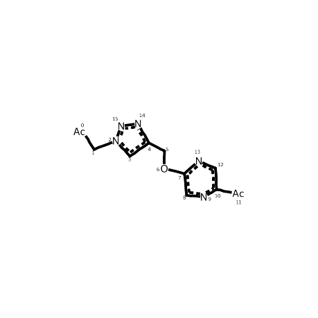 CC(=O)Cn1cc(COc2cnc(C(C)=O)cn2)nn1